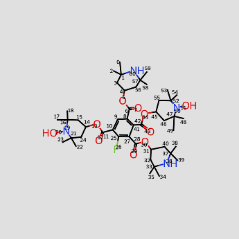 CC1(C)CC(OC(=O)c2cc(C(=O)OC3CC(C)(C)N(O)C(C)(C)C3)c(F)c(C(=O)OC3CC(C)(C)NC(C)(C)C3)c2C(=O)OC2CC(C)(C)N(O)C(C)(C)C2)CC(C)(C)N1